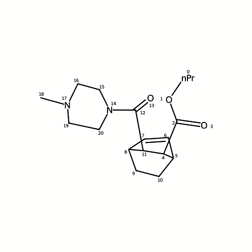 CCCOC(=O)C1C2C=CC(CC2)C1C(=O)N1CCN(C)CC1